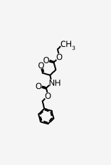 CCOC(=O)CC(C=O)NC(=O)OCc1ccccc1